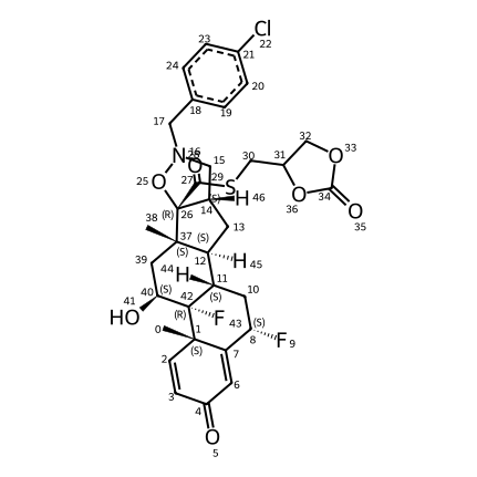 C[C@]12C=CC(=O)C=C1[C@@H](F)C[C@H]1[C@@H]3C[C@H]4CN(Cc5ccc(Cl)cc5)O[C@@]4(C(=O)SCC4COC(=O)O4)[C@@]3(C)C[C@H](O)[C@@]12F